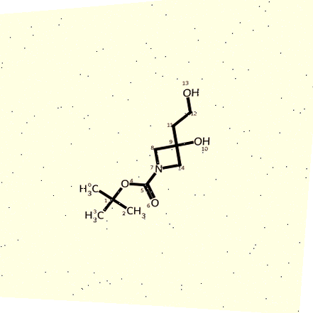 CC(C)(C)OC(=O)N1CC(O)(CCO)C1